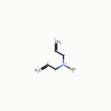 [CH2]CCN(CC=C)CC=C